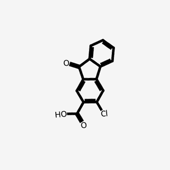 O=C(O)c1cc2c(cc1Cl)-c1ccccc1C2=O